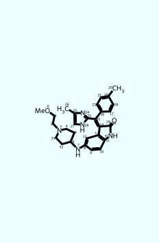 COCCN1CCC(Nc2ccc3c(c2)C(=C(c2ccc(C)cc2)c2nc(C)c[nH]2)C(=O)N3)CC1